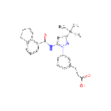 CC(C)(C)c1cc(NC(=O)c2cccc3c2C=CCC3)n(-c2cccc(CCC(=O)O)c2)n1